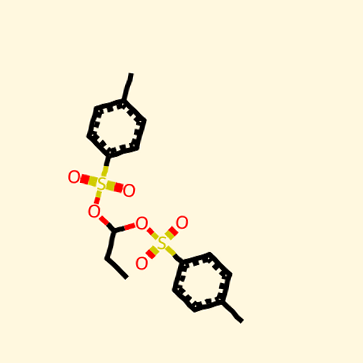 CCC(OS(=O)(=O)c1ccc(C)cc1)OS(=O)(=O)c1ccc(C)cc1